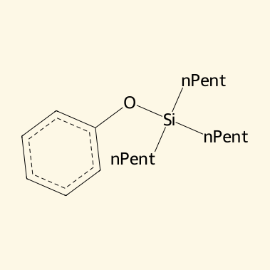 CCCCC[Si](CCCCC)(CCCCC)Oc1ccccc1